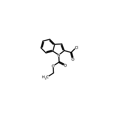 CCOC(=O)n1c(C(=O)Cl)cc2ccccc21